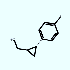 OCC1C[C@H]1c1ccc(I)cc1